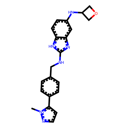 Cn1nccc1-c1ccc(CNc2nc3cc(NC4COC4)ccc3[nH]2)cc1